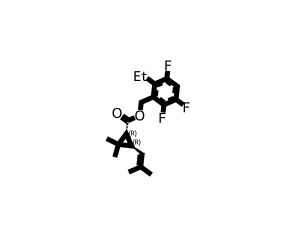 CCc1c(F)cc(F)c(F)c1COC(=O)[C@@H]1[C@@H](C=C(C)C)C1(C)C